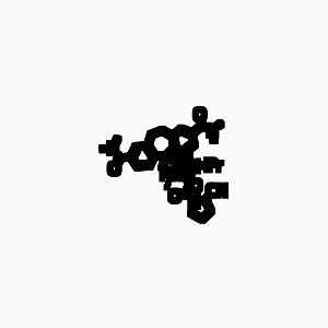 CC(C)n1nc(C2(C[C@@H](C)NCC(=O)N3CCCC3C#N)c3ccc(C(=O)N(C)C)cc3CCc3cc(C(=O)N(C)C)ccc32)[nH]c1=O